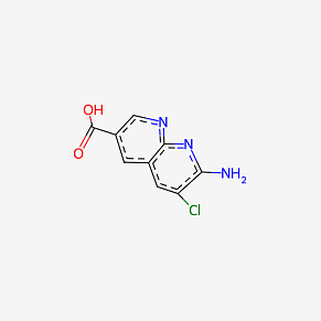 Nc1nc2ncc(C(=O)O)cc2cc1Cl